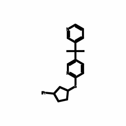 CC(C)C1CCC(Sc2ccc(C(C)(C)c3cccnc3)cn2)C1